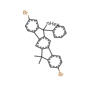 CCCCCCC1(c2ccccc2)c2cc(Br)ccc2-c2cc3c(cc21)-c1ccc(Br)cc1C3(C)C